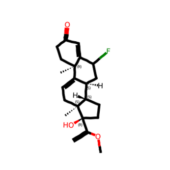 C=C(OC)[C@@]1(O)CC[C@H]2[C@@H]3CC(F)C4=CC(=O)CC[C@]4(C)C3=CC[C@@]21C